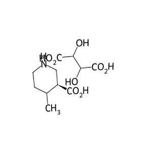 CC1CCNC[C@H]1C(=O)O.O=C(O)C(O)C(O)C(=O)O